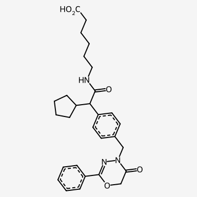 O=C(O)CCCCCNC(=O)C(c1ccc(CN2N=C(c3ccccc3)OCC2=O)cc1)C1CCCC1